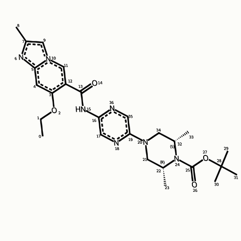 CCOc1cc2nc(C)cn2cc1C(=O)Nc1cnc(N2C[C@@H](C)N(C(=O)OC(C)(C)C)[C@@H](C)C2)cn1